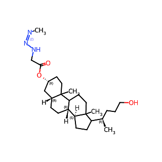 C/N=N\NCC(=O)O[C@@H]1CCC2(C)C3CCC4(C)C([C@H](C)CCCO)CC[C@H]4[C@@H]3CC[C@@H]2C1